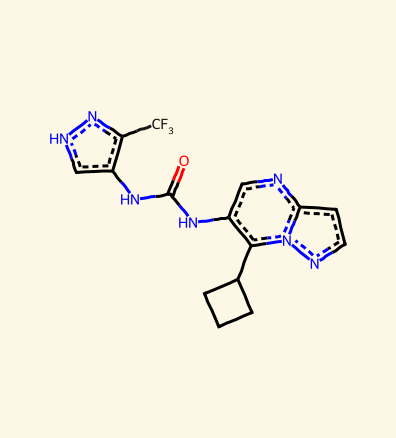 O=C(Nc1c[nH]nc1C(F)(F)F)Nc1cnc2ccnn2c1C1CCC1